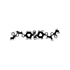 C=CC(=O)OC(C)COc1ccc(S(=O)(=O)c2ccc(OCC(C)OC(=O)C=C)cc2)cc1